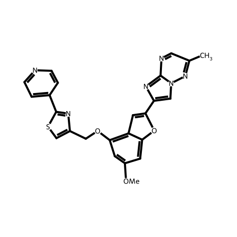 COc1cc(OCc2csc(-c3ccncc3)n2)c2cc(-c3cn4nc(C)cnc4n3)oc2c1